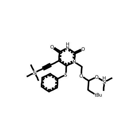 C[SiH](C)OC(CC(C)(C)C)OCn1c(Sc2ccccc2)c(C#C[Si](C)(C)C)c(=O)[nH]c1=O